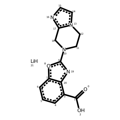 O=C(O)c1cccc2oc(N3CCn4ccnc4C3)nc12.[LiH]